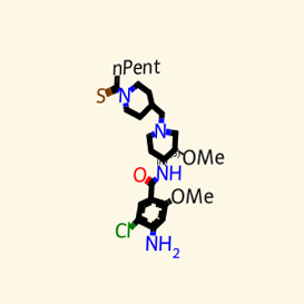 CCCCCC(=S)N1CCC(CN2CC[C@@H](NC(=O)c3cc(Cl)c(N)cc3OC)[C@@H](OC)C2)CC1